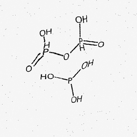 O=[PH](O)O[PH](=O)O.OP(O)O